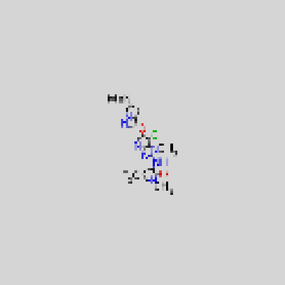 CNc1ccc2c(Oc3cnc4nc(Nc5cc(C(F)(F)F)cn(C)c5=O)n(C)c4c3Cl)cnn2c1